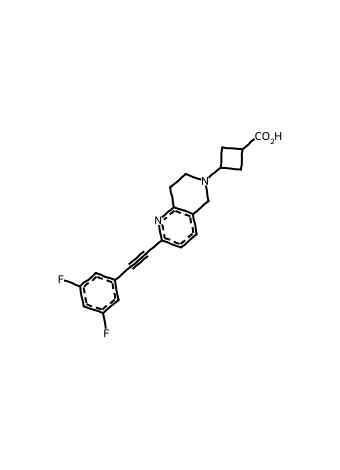 O=C(O)C1CC(N2CCc3nc(C#Cc4cc(F)cc(F)c4)ccc3C2)C1